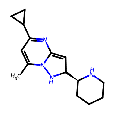 CC1=CC(C2CC2)=NC2=CC([C@@H]3CCCCN3)NN12